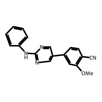 COc1cc(-c2cnc(Nc3ccccc3)nc2)ccc1C#N